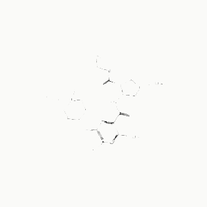 COc1cc(F)c(O[C@H]2CC[C@@](C)(C(=O)O)CC2)cc1C(=O)N[C@@H]1C[C@@H](OC)C[C@@H]1C(=O)NCC(C)(C)C